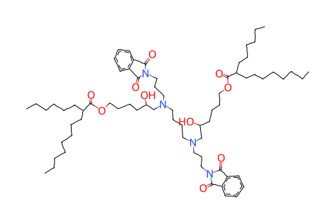 CCCCCCCCC(CCCCCC)C(=O)OCCCCC(O)CN(CCCCN(CCCN1C(=O)c2ccccc2C1=O)CC(O)CCCCOC(=O)C(CCCCCC)CCCCCCCC)CCCN1C(=O)c2ccccc2C1=O